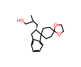 CC(CO)C[C@@H]1Cc2ccccc2C12CCC1(CC2)OCCO1